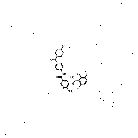 C[C@@H](Oc1cc(C(=O)Nc2ccc(C(=O)N3CCC(O)CC3)cc2)nnc1N)c1c(Cl)ccc(F)c1Cl